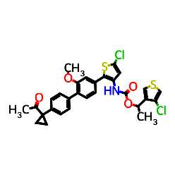 COc1cc(-c2sc(Cl)cc2NC(=O)OC(C)c2cscc2Cl)ccc1-c1ccc(C2(C(C)=O)CC2)cc1